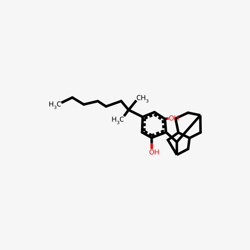 CCCCCCC(C)(C)c1cc(O)c(C2C3CCC4CC2CC4C3)c(O)c1